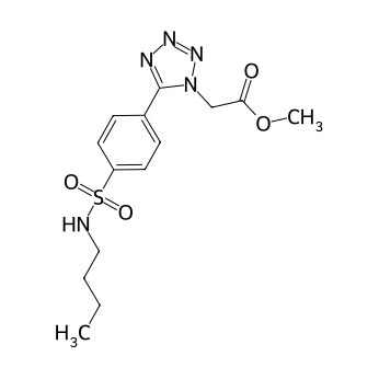 CCCCNS(=O)(=O)c1ccc(-c2nnnn2CC(=O)OC)cc1